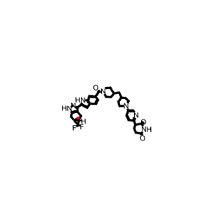 CC12Cc3[nH]nc(-c4cc5ccc(C(=O)N6CCC(CC7CCN(c8ccc(C9CCC(=O)NC9=O)nc8)CC7)CC6)cc5[nH]4)c3C[C@@H]1C2(F)F